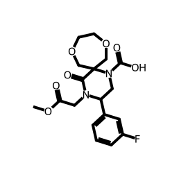 COC(=O)CN1C(=O)C2(COCCOC2)N(C(=O)O)CC1c1cccc(F)c1